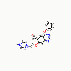 CN1CCN(CCOc2cc3ncnc(Oc4ccccc4)c3cc2C[O])CC1